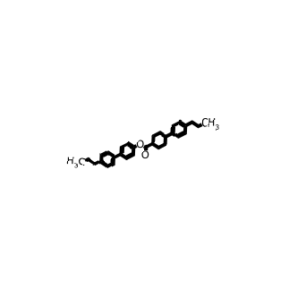 CCCc1ccc(-c2ccc(OC(=O)C3CCC(c4ccc(CCC)cc4)CC3)cc2)cc1